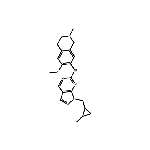 COc1cc2c(cc1Nc1ncc3cnn(CC4CC4C)c3n1)CN(C)CC2